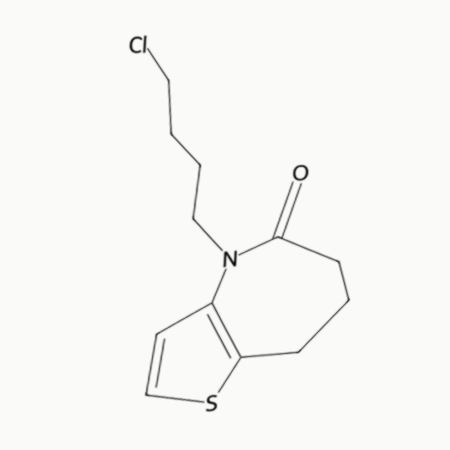 O=C1CCCc2sccc2N1CCCCCl